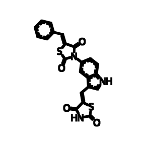 O=C1NC(=O)/C(=C/c2c[nH]c3ccc(N4C(=O)S/C(=C\c5ccccc5)C4=O)cc23)S1